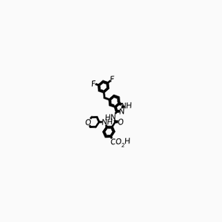 O=C(O)c1ccc(NC2CCOCC2)c(C(=O)Nc2n[nH]c3ccc(Cc4cc(F)cc(F)c4)cc23)c1